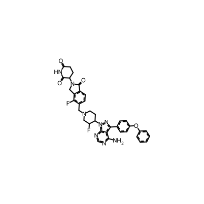 Nc1ncnc2c1c(-c1ccc(Oc3ccccc3)cc1)nn2C1CCN(Cc2ccc3c(c2F)CN(C2CCC(=O)NC2=O)C3=O)CC1F